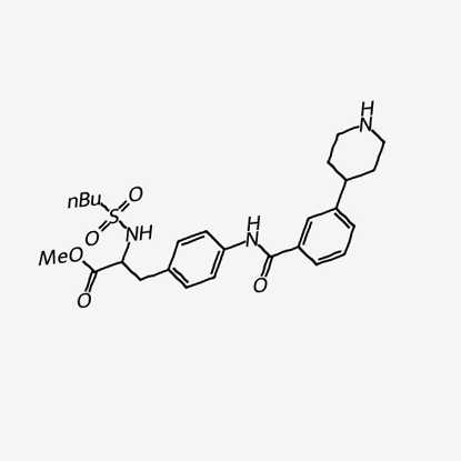 CCCCS(=O)(=O)NC(Cc1ccc(NC(=O)c2cccc(C3CCNCC3)c2)cc1)C(=O)OC